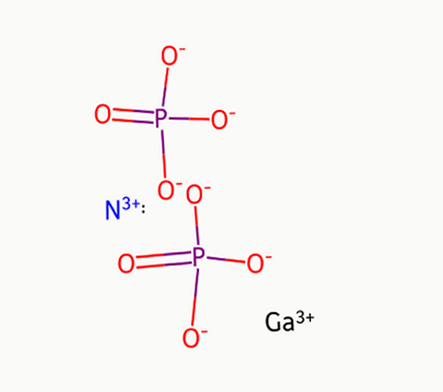 O=P([O-])([O-])[O-].O=P([O-])([O-])[O-].[Ga+3].[N+3]